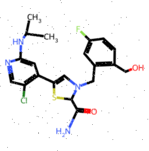 CC(C)Nc1cc(C2=CN(Cc3cc(F)ccc3CO)C(C(N)=O)S2)c(Cl)cn1